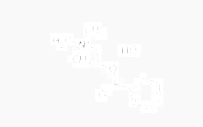 C[N+](C)(C)CCOC(=O)c1ccccc1.[OH-]